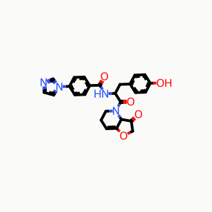 O=C(NC(Cc1ccc(O)cc1)C(=O)N1CCC=C2OCC(=O)C21)c1ccc(-n2ccnc2)cc1